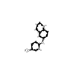 FC(F)(F)c1ccc(Oc2ccc3n[c]ccc3c2)nc1